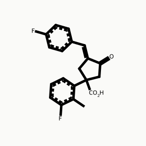 Cc1c(F)cccc1C1(C(=O)O)CC(=O)C(=Cc2ccc(F)cc2)C1